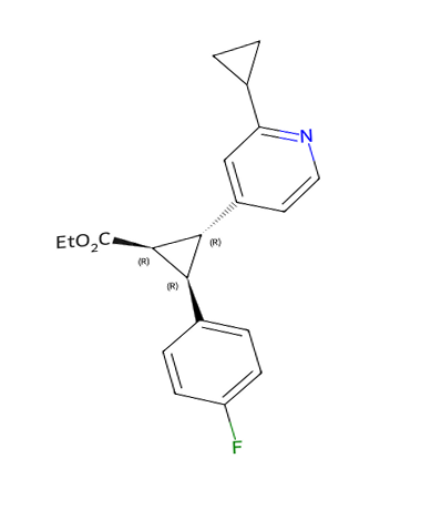 CCOC(=O)[C@@H]1[C@H](c2ccc(F)cc2)[C@H]1c1ccnc(C2CC2)c1